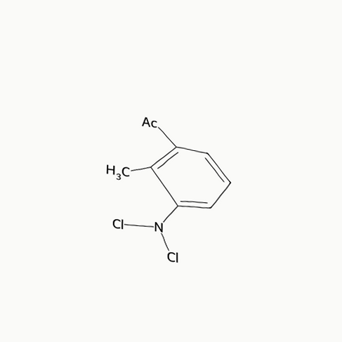 CC(=O)c1cccc(N(Cl)Cl)c1C